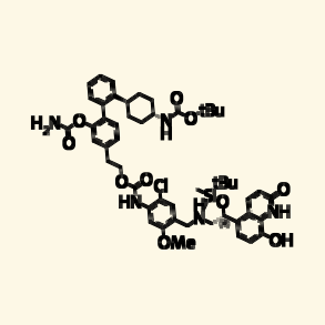 COc1cc(NC(=O)OCCc2ccc(-c3ccccc3[C@H]3CC[C@H](NC(=O)OC(C)(C)C)CC3)c(OC(N)=O)c2)c(Cl)cc1CNC[C@H](O[Si](C)(C)C(C)(C)C)c1ccc(O)c2[nH]c(=O)ccc12